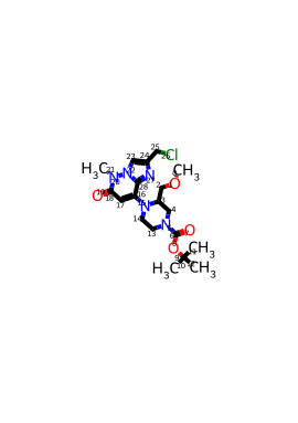 COCC1CN(C(=O)OC(C)(C)C)CCN1c1cc(=O)n(C)n2cc(CCl)nc12